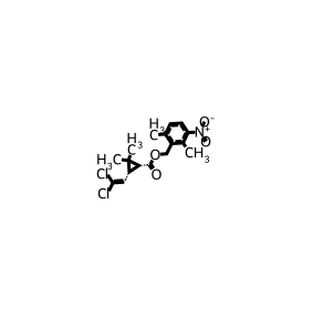 Cc1ccc([N+](=O)[O-])c(C)c1COC(=O)[C@@H]1[C@H](C=C(Cl)Cl)C1(C)C